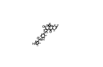 COC(=O)c1sc(-c2ccc(NC(=O)c3cc[nH]n3)cc2)cc1N(C(=O)C1CCC(C)CC1)C1CCC1